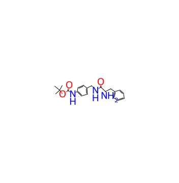 CC(C)(C)OC(=O)Nc1ccc(CNC(=O)[C@H](N)Cc2ccccc2)cc1